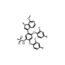 COc1nccc2c(-c3cc(NS(C)(=O)=O)c(Oc4ccc(F)cc4F)cc3Oc3ccc(F)cc3F)cn(C)c12